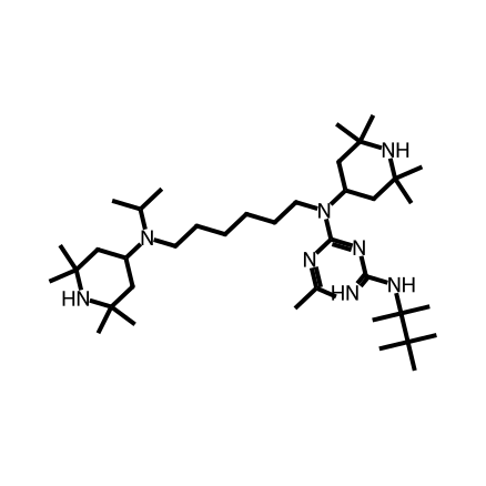 CC(C)=N/C(=N\C(=N)NC(C)(C)C(C)(C)C)N(CCCCCCN(C(C)C)C1CC(C)(C)NC(C)(C)C1)C1CC(C)(C)NC(C)(C)C1